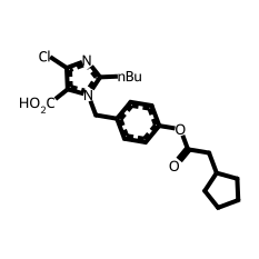 CCCCc1nc(Cl)c(C(=O)O)n1Cc1ccc(OC(=O)CC2CCCC2)cc1